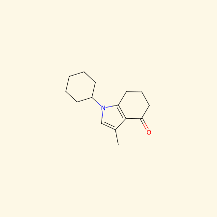 Cc1cn(C2CCCCC2)c2c1C(=O)CCC2